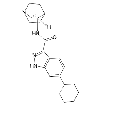 O=C(N[C@H]1CN2CCC1CC2)c1n[nH]c2cc(C3CCCCC3)ccc12